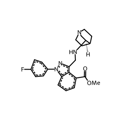 COC(=O)c1cccc2c1c(CN[C@H]1CN3CCC1CC3)nn2-c1ccc(F)cc1